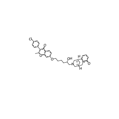 Cc1oc2cc(OCCCCC(O)CN3C[C@@H]4C[C@@H](C3)c3cccc(=O)n3C4)ccc2c(=O)c1-c1ccc(Cl)cc1